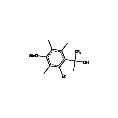 CCc1c(C)c(OC)c(C)c(C)c1C(C)(O)C(F)(F)F